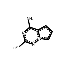 CCCc1nc(N)c2cccn2n1